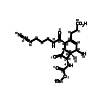 CC(C)(C)OC(=O)N[C@H]1C(=O)N2[C@@H](C(=O)NCCCN=[N+]=[N-])C(CCC(=O)O)=CC(S)[C@@H]12